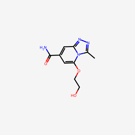 Cc1nnc2cc(C(N)=O)cc(OCCO)n12